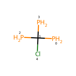 PC(P)(P)Cl